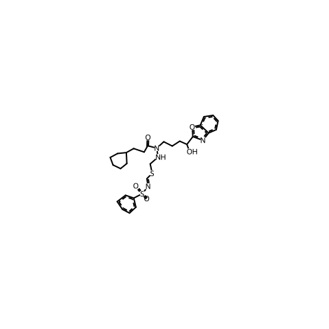 O=C(CCC1CCCCC1)N(CCCC(O)c1nc2ccccc2o1)NCSC=NS(=O)(=O)c1ccccc1